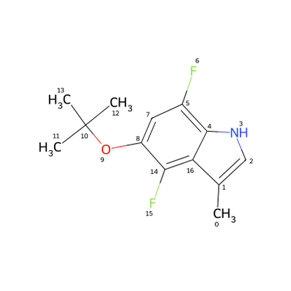 Cc1c[nH]c2c(F)cc(OC(C)(C)C)c(F)c12